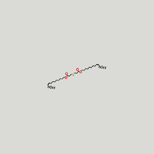 CCCCCCCC/C=C\CCCCCCCCOC(=O)CCSCCC(=O)OCCCCCCCC/C=C\CCCCCCCC